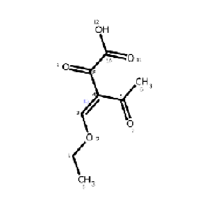 CCO/C=C(\C(C)=O)C(=O)C(=O)O